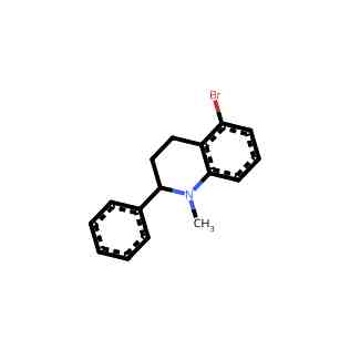 CN1c2cccc(Br)c2CCC1c1ccccc1